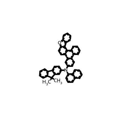 CC1(C)c2ccccc2-c2ccc(N(c3ccc4c5ccccc5c5c(ccc6oc7ccccc7c65)c4c3)c3cccc4ccccc34)cc21